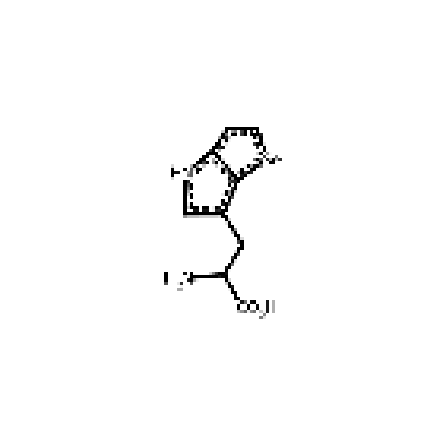 NC(Cc1c[nH]c2cc[se]c12)C(=O)O